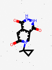 CC1(n2cc3c(=O)[nH][nH]c(=O)c3cc2=O)CC1